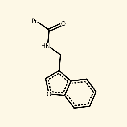 CC(C)C(=O)NCc1coc2ccccc12